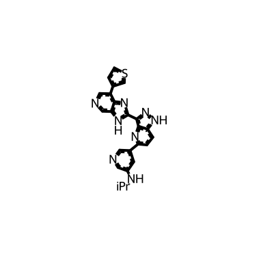 CC(C)Nc1cncc(-c2ccc3[nH]nc(-c4nc5c(-c6ccsc6)cncc5[nH]4)c3n2)c1